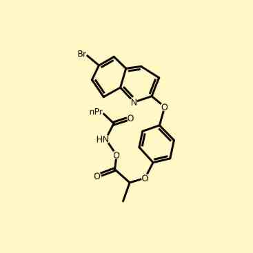 CCCC(=O)NOC(=O)C(C)Oc1ccc(Oc2ccc3cc(Br)ccc3n2)cc1